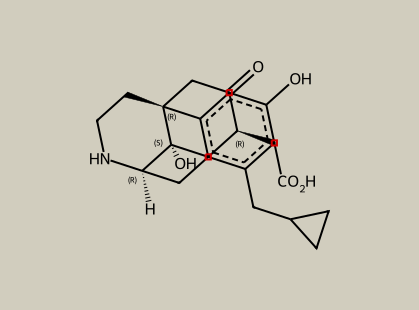 O=C(O)C[C@H]1C[C@@]2(O)[C@H]3Cc4c(CC5CC5)cc(O)cc4[C@@]2(CCN3)CC1=O